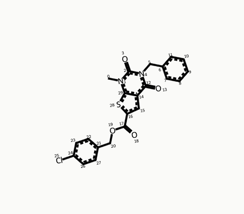 Cn1c(=O)n(Cc2ccccc2)c(=O)c2cc(C(=O)OCc3ccc(Cl)cc3)sc21